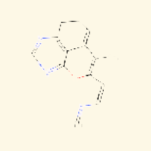 C=N/C=C\C1=C(C)C2=CCCc3ncnc(c32)O1